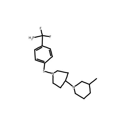 CC1CCCN(C2CCN(Sc3ccc(C(F)(F)P)cc3)CC2)C1